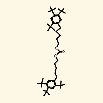 CC(C)(C)c1cc(C(C)(C)C)c(C(C)(C)C)cc1CCCCCOC(=O)OCCCCCc1cc(C(C)(C)C)c(C(C)(C)C)cc1C(C)(C)C